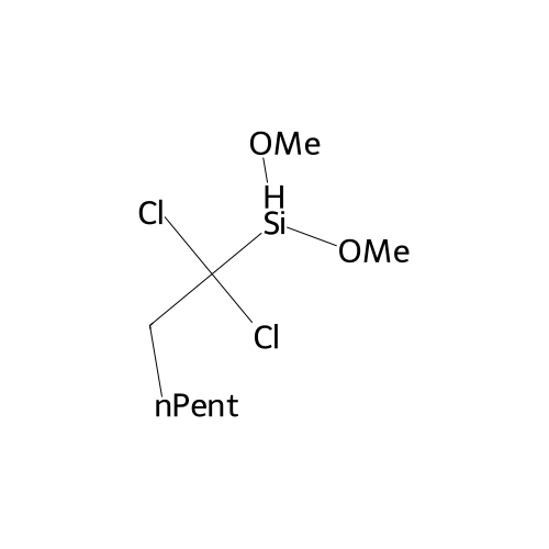 CCCCCCC(Cl)(Cl)[SiH](OC)OC